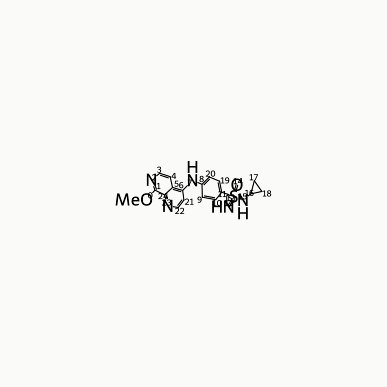 COc1nccc2c(Nc3ccc([S@](=N)(=O)NC4CC4)cc3)ccnc12